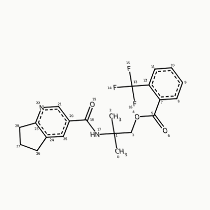 CC(C)(COC(=O)c1ccccc1C(F)(F)F)NC(=O)c1cnc2c(c1)CCC2